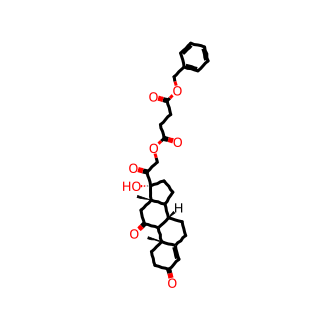 C[C@]12CCC(=O)C=C1CC[C@@H]1C2C(=O)C[C@@]2(C)C1CC[C@]2(O)C(=O)COC(=O)CCC(=O)OCc1ccccc1